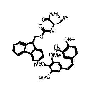 CC(C)C[C@H](NC(=O)OCC1c2ccccc2-c2ccccc21)C(N)=O.COc1ccc(/C=C\c2cc(OC)c(OC)c(OC)c2)cc1N